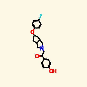 O=C(CN1CC2CC(Oc3ccc(F)cc3)CC2C1)c1ccc(O)cc1